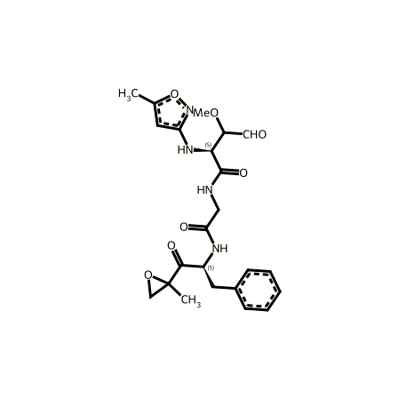 COC(C=O)[C@H](Nc1cc(C)on1)C(=O)NCC(=O)N[C@@H](Cc1ccccc1)C(=O)C1(C)CO1